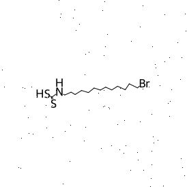 S=C(S)NCCCCCCCCCCCCCBr